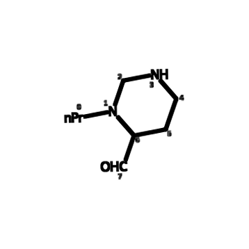 CCCN1CNCCC1C=O